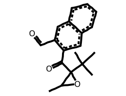 CC1OC1(C(=O)c1cc2ccccc2cc1C=O)C(C)(C)C